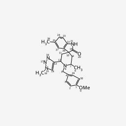 COc1ccc(CN2C(C)CC3(CC2c2cn(C)nn2)C(=O)Nc2ccc(C)cc23)cc1